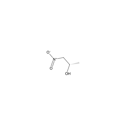 C[C@H](O)C[N+](=O)[O-]